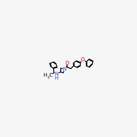 CC(NC1CN(C(=O)Cc2ccc(Oc3ccccc3)cc2)C1)c1ccccc1